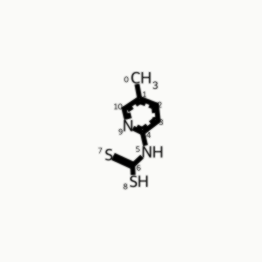 Cc1ccc(NC(=S)S)nc1